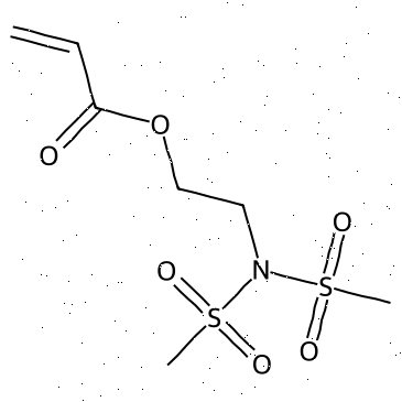 C=CC(=O)OCCN(S(C)(=O)=O)S(C)(=O)=O